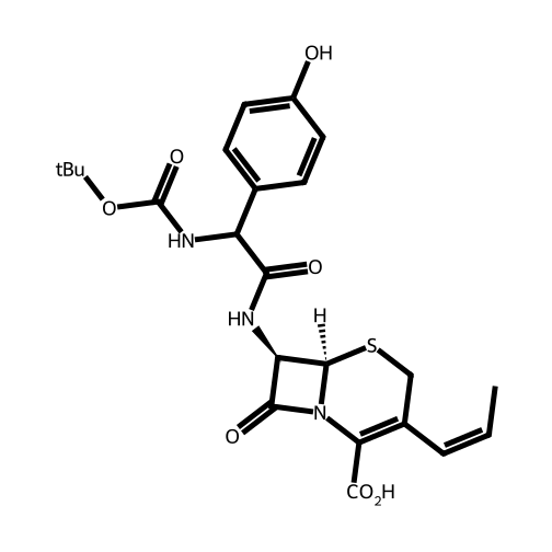 C/C=C\C1=C(C(=O)O)N2C(=O)[C@@H](NC(=O)C(NC(=O)OC(C)(C)C)c3ccc(O)cc3)[C@H]2SC1